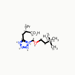 CCC[C@@H](Cc1nnnn1COCC[Si](C)(C)C)C(=O)O